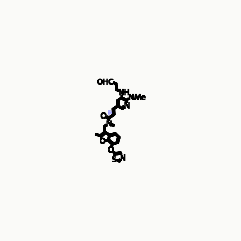 CNc1ncc(/C=C/C(=O)N(C)Cc2c(C)oc3c(Oc4cncs4)cccc23)cc1NCCC=O